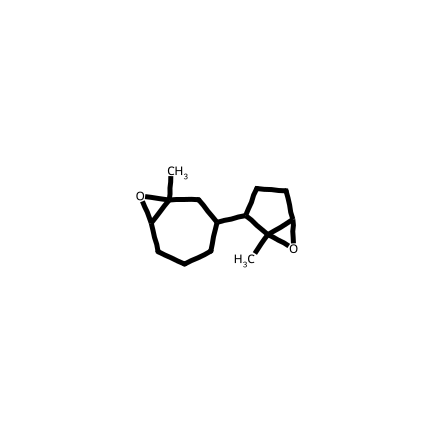 CC12CC(C3CCC4OC43C)CCCC1O2